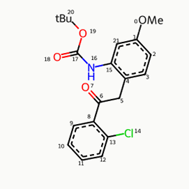 COc1ccc(CC(=O)c2ccccc2Cl)c(NC(=O)OC(C)(C)C)c1